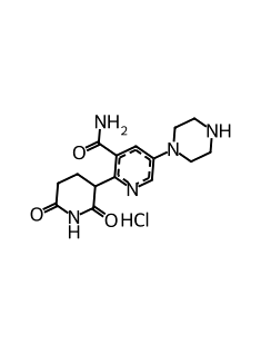 Cl.NC(=O)c1cc(N2CCNCC2)cnc1C1CCC(=O)NC1=O